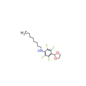 CCCCCCCCNc1c(F)c(F)c(C2OCCO2)c(F)c1F